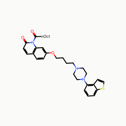 CCCCCCCCC(=O)n1c(=O)ccc2ccc(OCCCCN3CCN(c4cccc5sccc45)CC3)cc21